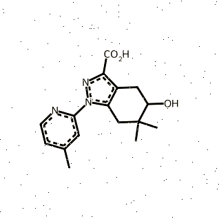 Cc1ccnc(-n2nc(C(=O)O)c3c2CC(C)(C)C(O)C3)c1